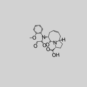 COc1ccccc1N(C(=O)C=O)[C@H]1C/C=C\C[C@@H]2CC[C@@H](C(=O)O)N2C1=O